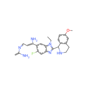 C=C(N)/N=C\C=C(/N)c1cc2c(cc1F)nc(C1NCCc3cc(OC)ccc31)n2CC